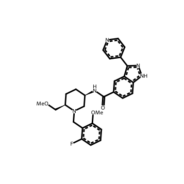 COC[C@H]1CC[C@@H](NC(=O)c2ccc3[nH]nc(-c4ccncc4)c3c2)CN1Cc1c(F)cccc1OC